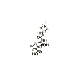 O=C(CNC1CCNCC1)N[C@H]1Cc2cccc(C(=O)O)c2OB1O